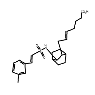 Cc1cccc(C=CS(=O)(=O)NC2C3CCC(CC3)C2CC=CCCCC(=O)O)c1